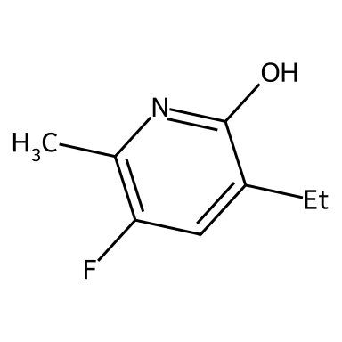 CCc1cc(F)c(C)nc1O